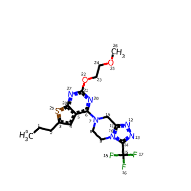 CCCc1cc2c(N3CCn4c(nnc4C(F)(F)F)C3)nc(OCCOC)nc2s1